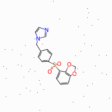 O=S(=O)(c1ccc(Cn2ccnc2)cc1)c1cccc2c1OCO2